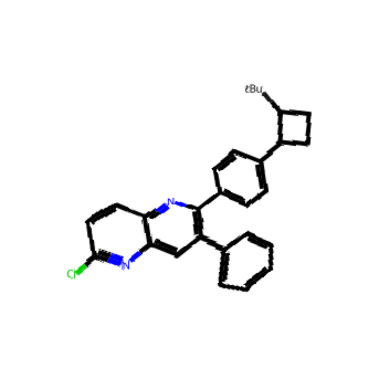 CC(C)(C)C1CC[C]1c1ccc(-c2nc3ccc(Cl)nc3cc2-c2ccccc2)cc1